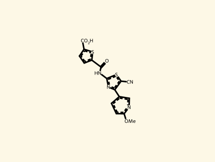 COc1ccc(-c2nc(NC(=O)c3ccc(C(=O)O)s3)sc2C#N)cn1